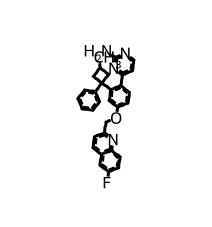 CC1CC(c2ccccc2)(c2cc(OCc3ccc4cc(F)ccc4n3)ccc2-c2ccnc(N)n2)C1